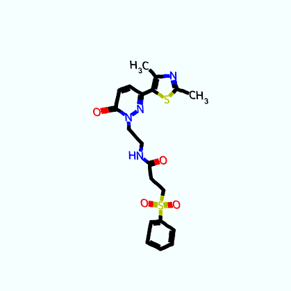 Cc1nc(C)c(-c2ccc(=O)n(CCNC(=O)CCS(=O)(=O)c3ccccc3)n2)s1